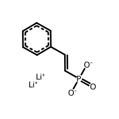 O=P([O-])([O-])C=Cc1ccccc1.[Li+].[Li+]